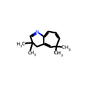 CC1(C)C=CC=C2N=CC(C)(C)CC2=C1